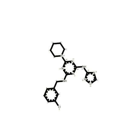 Clc1cccc(CNc2nc(Nc3ncon3)nc(N3CCCCC3)n2)c1